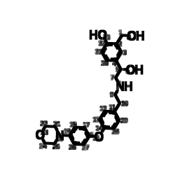 OCc1cc([C@@H](O)CNCCc2ccc(Oc3ccc(N4CCOCC4)cc3)cc2)ccc1O